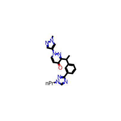 CCCn1cnc(-c2cccc(C(C)c3nn(-c4cnn(C)c4)ccc3=O)c2)n1